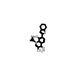 COc1c(-c2cc3c(s2)CCCC3)ccc2c(=O)c(C(=O)O)cn(C3CC3)c12